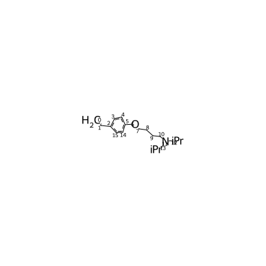 C=Cc1ccc(OCCCCN(C(C)C)C(C)C)cc1